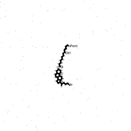 CCCCC/C=C\C=C\[C@@H](O)CCCCCCCC(=O)OC1CC[C@@]2(C)C(=CCC3C4CCC(C(C)CCCC(C)C)[C@@]4(C)CCC32)C1